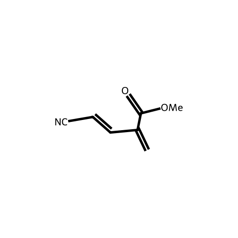 C=C(C=CC#N)C(=O)OC